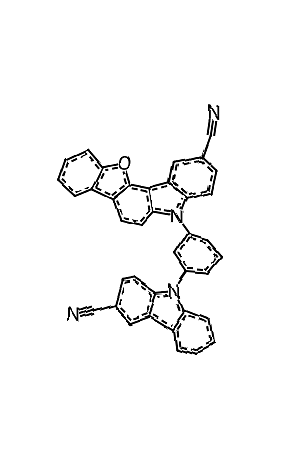 N#Cc1ccc2c(c1)c1ccccc1n2-c1cccc(-n2c3ccc(C#N)cc3c3c4oc5ccccc5c4ccc32)c1